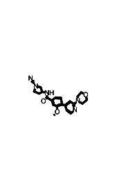 COc1cc(C(=O)NC2CCN(C#N)C2)ccc1-c1ccnc(N2CCOCC2)c1